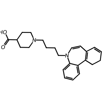 O=C(O)C1CCN(CCCCN2C=CC3=C(CCC=C3)c3ccccc32)CC1